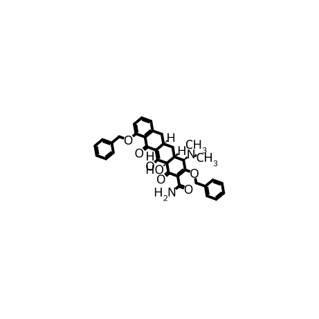 CN(C)[C@H]1C(OCc2ccccc2)=C(C(N)=O)C(=O)[C@@]2(O)C(O)=C3C(=O)c4c(cccc4OCc4ccccc4)C[C@H]3C[C@H]12